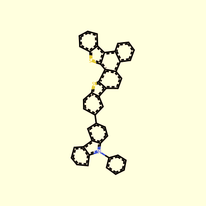 c1ccc(-n2c3ccccc3c3cc(-c4ccc5sc6c(ccc7c8ccccc8c8c9ccccc9sc8c76)c5c4)ccc32)cc1